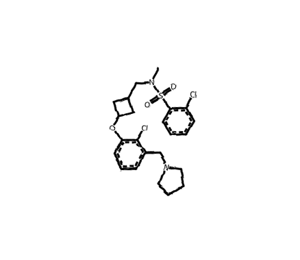 CN(CC1CC(Oc2cccc(CN3CCCC3)c2Cl)C1)S(=O)(=O)c1ccccc1Cl